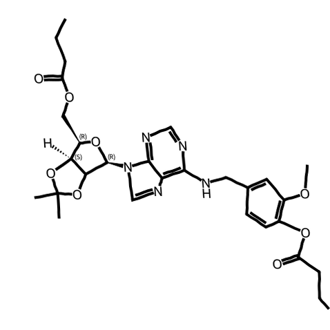 CCCC(=O)OC[C@H]1O[C@@H](n2cnc3c(NCc4ccc(OC(=O)CCC)c(OC)c4)ncnc32)C2OC(C)(C)O[C@H]21